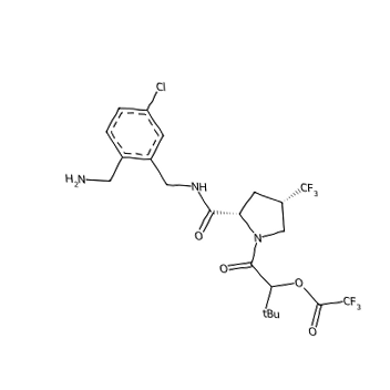 CC(C)(C)C(OC(=O)C(F)(F)F)C(=O)N1C[C@@H](C(F)(F)F)C[C@H]1C(=O)NCc1cc(Cl)ccc1CN